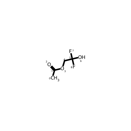 CC(=O)OCC(O)(F)F